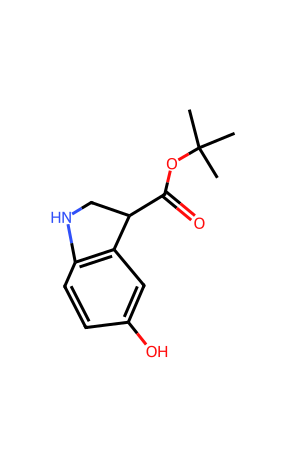 CC(C)(C)OC(=O)C1CNc2ccc(O)cc21